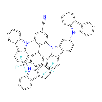 N#Cc1cc(-n2c3ccccc3c3ccc(-n4c5ccccc5c5ccccc54)cc32)c(-c2cc(C(F)(F)F)cc(C(F)(F)F)c2)c(-n2c3ccccc3c3ccc(-n4c5ccccc5c5ccccc54)cc32)c1